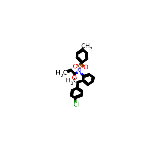 C=CC(=O)N(c1ccccc1C(=C)c1ccc(Cl)cc1)S(=O)(=O)c1ccc(C)cc1